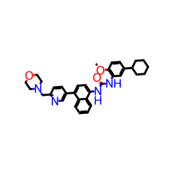 COc1ccc(C2CCCCC2)cc1NC(=O)Nc1ccc(-c2ccc(CN3CCOCC3)nc2)c2ccccc12